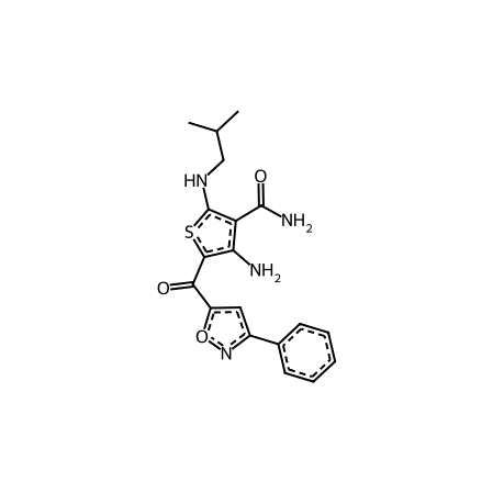 CC(C)CNc1sc(C(=O)c2cc(-c3ccccc3)no2)c(N)c1C(N)=O